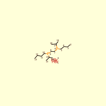 Br.Br.CCCCP(CCP(CCCC)C(C)C)C(C)C